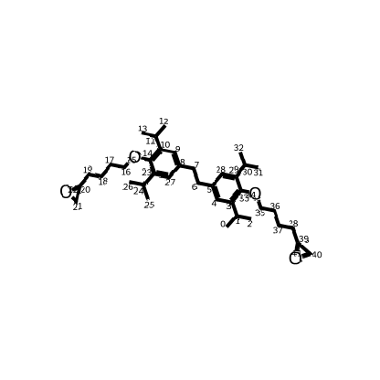 CC(C)c1cc(CCc2cc(C(C)C)c(OCCCCC3CO3)c(C(C)C)c2)cc(C(C)C)c1OCCCCC1CO1